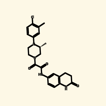 Cc1cc(N2CCN(C(=O)C(=O)Nc3ccc4c(c3)CCC(=O)N4)C[C@H]2C)ccc1Cl